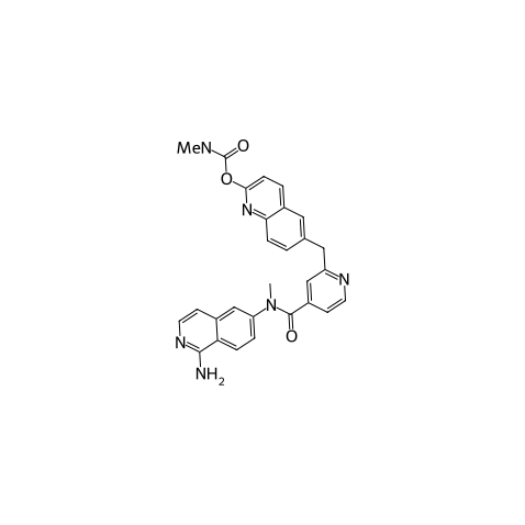 CNC(=O)Oc1ccc2cc(Cc3cc(C(=O)N(C)c4ccc5c(N)nccc5c4)ccn3)ccc2n1